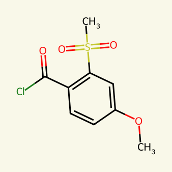 COc1ccc(C(=O)Cl)c(S(C)(=O)=O)c1